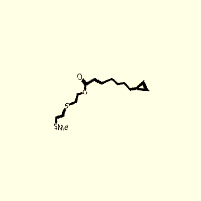 CSCCSCCOC(=O)CCCCCCC1CC1